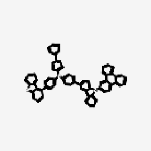 c1ccc(-c2ccc(N(c3ccc(-c4ccc5c(c4)c4ccccc4n5-c4ccc5c6ccccc6c6ccccc6c5c4)cc3)c3ccc(-c4cccc5sc6ccccc6c45)cc3)cc2)cc1